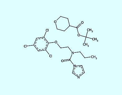 CC(C)(C)OC(=O)C1CCOCC1.CCCN(CCOc1c(Cl)cc(Cl)cc1Cl)C(=O)n1ccnc1